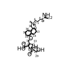 C=C(N)SCCC[N+](C)(C)Cc1cccc2c(OCC3=C(C(=O)O)N4C(=O)[C@H]([C@@H](C)O)[C@H]4[C@H]3C)cccc12